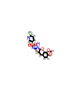 O=C1NC(=NS(=O)(=O)c2ccc(Cl)nc2)SC1=Cc1ccc2c(c1)OCO2